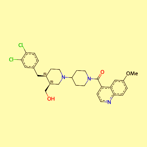 COc1ccc2nccc(C(=O)N3CCC(N4CC[C@H](Cc5ccc(Cl)c(Cl)c5)[C@H](CO)C4)CC3)c2c1